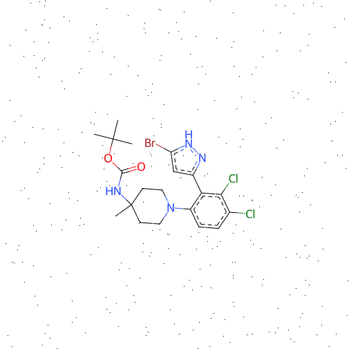 CC1(NC(=O)OC(C)(C)C)CCN(c2ccc(Cl)c(Cl)c2-c2cc(Br)[nH]n2)CC1